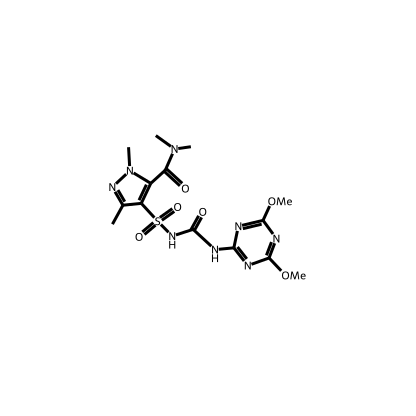 COc1nc(NC(=O)NS(=O)(=O)c2c(C)nn(C)c2C(=O)N(C)C)nc(OC)n1